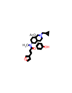 CC(=O)O[C@]12CC[C@@H](N(C)C(=O)/C=C/c3ccoc3)C[C@]1(c1cccc(O)c1)CCN(CC1CC1)C2